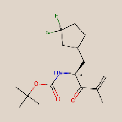 C=C(C)C(=O)[C@H](CC1CCC(F)(F)C1)NC(=O)OC(C)(C)C